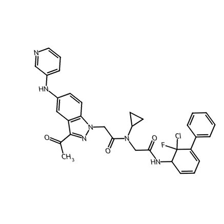 CC(=O)c1nn(CC(=O)N(CC(=O)NC2C=CC=C(c3ccccc3)C2(F)Cl)C2CC2)c2ccc(Nc3cccnc3)cc12